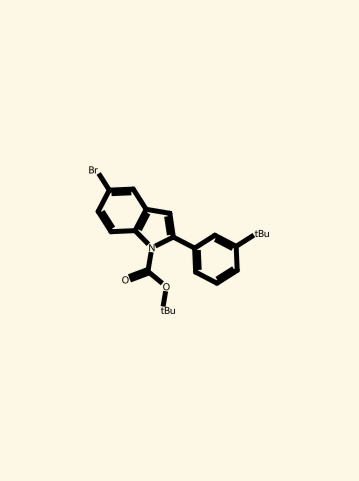 CC(C)(C)OC(=O)n1c(-c2cccc(C(C)(C)C)c2)cc2cc(Br)ccc21